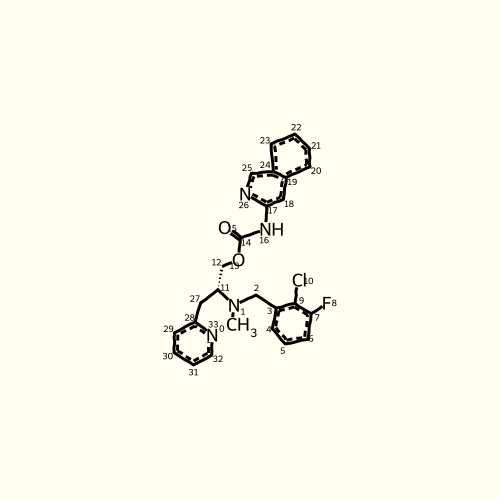 CN(Cc1cccc(F)c1Cl)[C@@H](COC(=O)Nc1cc2ccccc2cn1)Cc1ccccn1